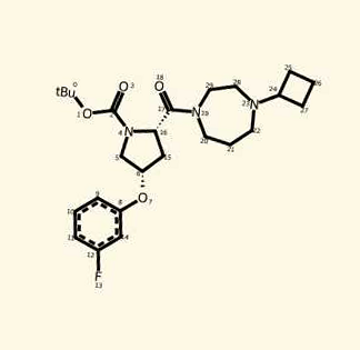 CC(C)(C)OC(=O)N1C[C@@H](Oc2cccc(F)c2)C[C@H]1C(=O)N1CCCN(C2CCC2)CC1